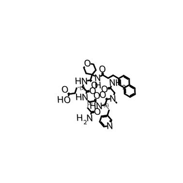 CN(CC(N)=O)C(=O)[C@H](Cc1cccnc1)NC(=O)[C@H](CC(N)=O)NC(=O)[C@H](CCC(=O)O)NC(=O)C1(NC(=O)CCc2ccc3ccccc3c2)CCOCC1